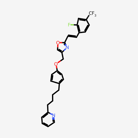 Fc1cc(C(F)(F)F)ccc1/C=C/c1nc(COc2ccc(CCCCc3ccccn3)cc2)co1